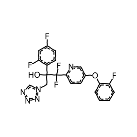 OC(Cn1cnnn1)(c1ccc(F)cc1F)C(F)(F)c1ccc(Oc2ccccc2F)cn1